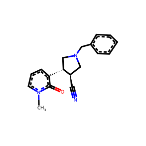 Cn1cccc([C@@H]2CN(Cc3ccccc3)C[C@H]2C#N)c1=O